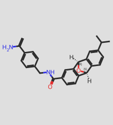 C=C(N)c1ccc(CNC(=O)c2ccc3c(c2)[C@@H]2O[C@H]3c3ccc(C(C)C)cc32)cc1